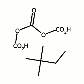 CCC(C)(C)C.O=C(O)OC(=O)OC(=O)O